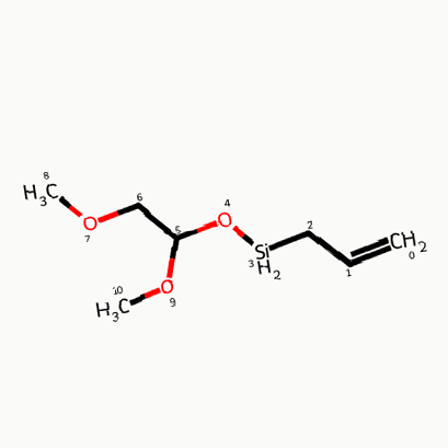 C=CC[SiH2]OC(COC)OC